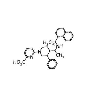 CC(N[C@H](C)c1cccc2ccccc12)C1CCN(c2cccc(C(=O)O)n2)CC1c1ccccc1